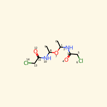 CC(NC(=O)CCl)OC(C)NC(=O)CCl